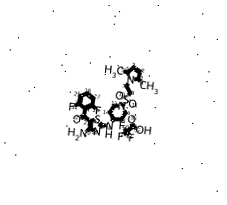 CC1C=CC(C)N1CCS(=O)(=O)N1CCC(Nc2nc(N)c(C(=O)c3c(F)cccc3F)s2)CC1.O=C(O)C(F)(F)F